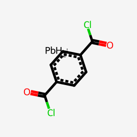 O=C(Cl)c1ccc(C(=O)Cl)cc1.[PbH2]